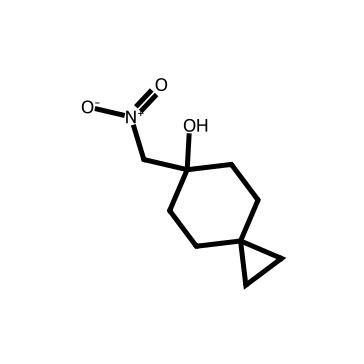 O=[N+]([O-])CC1(O)CCC2(CC1)CC2